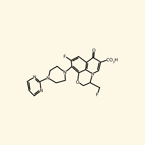 O=C(O)c1cn2c3c(c(N4CCN(c5ncccn5)CC4)c(F)cc3c1=O)OCC2CF